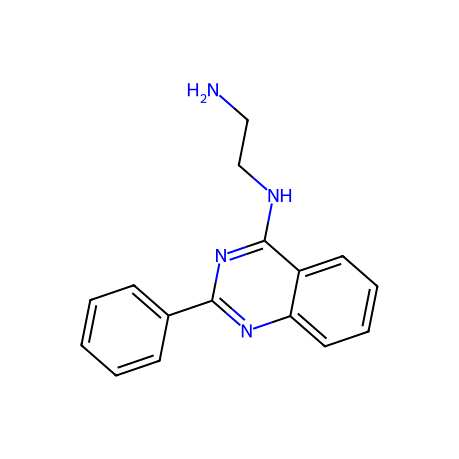 NCCNc1nc(-c2ccccc2)nc2ccccc12